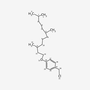 CC(C)CCCC(C)CCCC(C)CCOc1ccc(CCl)cc1